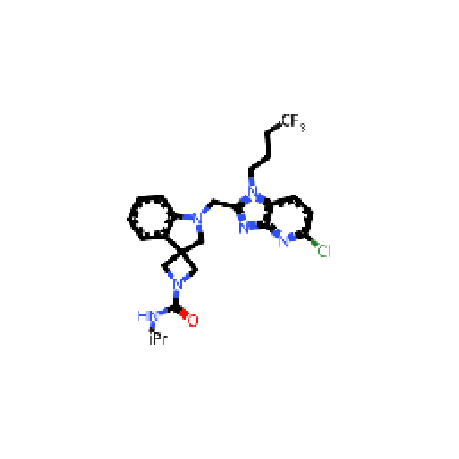 CC(C)NC(=O)N1CC2(C1)CN(Cc1nc3nc(Cl)ccc3n1CCCC(F)(F)F)c1ccccc12